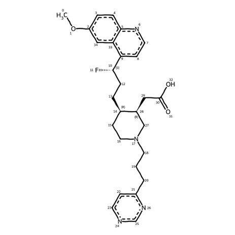 COc1ccc2nccc([C@@H](F)CC[C@@H]3CCN(CCCc4ccncn4)C[C@@H]3CC(=O)O)c2c1